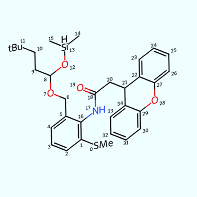 CSc1cccc(COC(CCC(C)(C)C)O[SiH](C)C)c1NC(=O)CC1c2ccccc2Oc2ccccc21